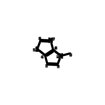 Cn1ccc2scnc21